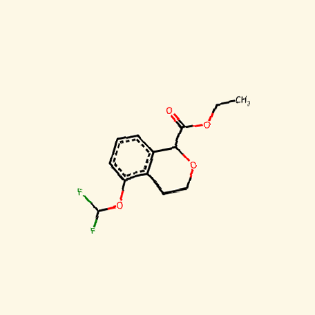 CCOC(=O)C1OCCc2c(OC(F)F)cccc21